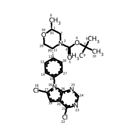 C[C@H]1CN(C(=O)OC(C)(C)C)[C@H](c2ccc(-n3c(Cl)cc4c(Cl)ncnc43)cc2)CO1